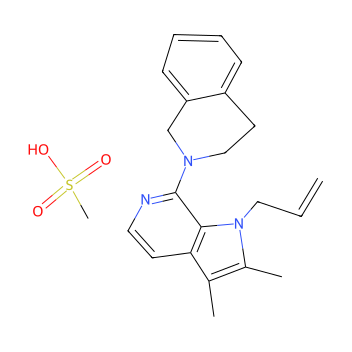 C=CCn1c(C)c(C)c2ccnc(N3CCc4ccccc4C3)c21.CS(=O)(=O)O